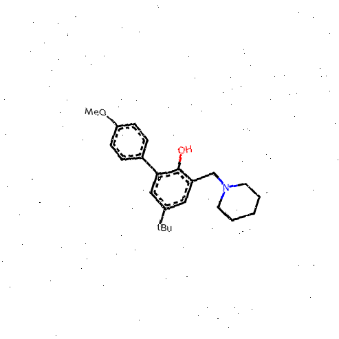 COc1ccc(-c2cc(C(C)(C)C)cc(CN3CCCCC3)c2O)cc1